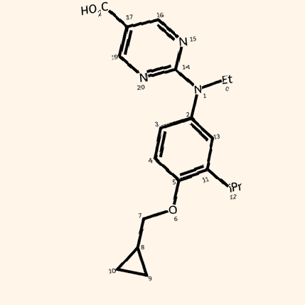 CCN(c1ccc(OCC2CC2)c(C(C)C)c1)c1ncc(C(=O)O)cn1